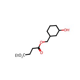 CCOC(=O)CCC(=O)OCC1CCCC(O)C1